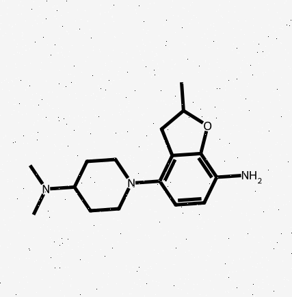 CC1Cc2c(N3CCC(N(C)C)CC3)ccc(N)c2O1